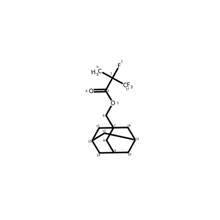 CC(F)(C(=O)OCC12CC3CC(CC(C3)C1)C2)C(F)(F)F